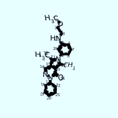 COCCNc1cccc(-n2c(C)c3cnn(-c4ccccc4)c(=O)c3c2C)c1